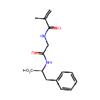 C=C(C)C(=O)NCC(=O)NC(Cc1ccccc1)C(=O)O